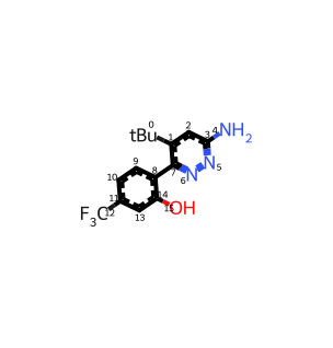 CC(C)(C)c1cc(N)nnc1-c1ccc(C(F)(F)F)cc1O